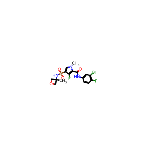 Cn1cc(S(=O)(=O)NC2(C)COC2)c(F)c1C(=O)Nc1ccc(F)c(Br)c1